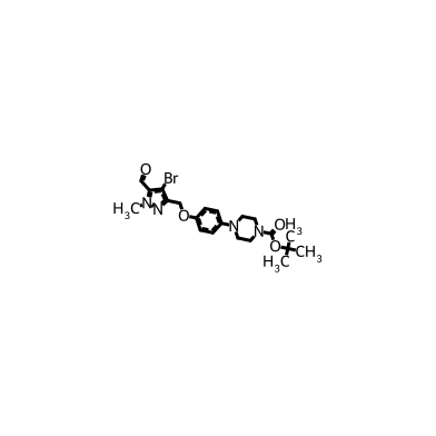 Cn1nc(COc2ccc(N3CCN(C(=O)OC(C)(C)C)CC3)cc2)c(Br)c1C=O